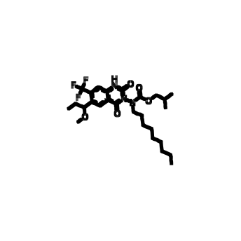 CCCCCCCCCN(C(=O)OCC(C)C)n1c(=O)[nH]c2cc(C(F)(F)F)c(C(CC)OC)cc2c1=O